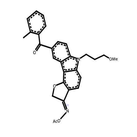 COCCCn1c2ccc(C(=O)c3ccccc3C)cc2c2c3c(ccc21)/C(=N/OC(C)=O)CO3